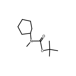 CN([C]1CCCCC1)C(=O)OC(C)(C)C